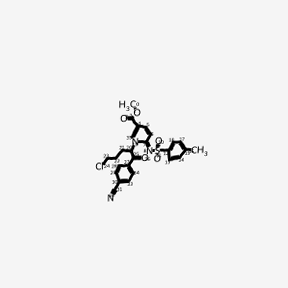 COC(=O)c1cc/c(=N\S(=O)(=O)c2ccc(C)cc2)n(C(CCCCl)C(=O)c2ccc(C#N)cc2)c1